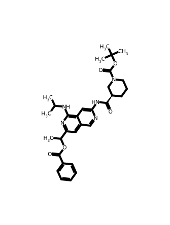 CC(C)Nc1nc(C(C)OC(=O)c2ccccc2)cc2cnc(NC(=O)[C@@H]3CCCN(C(=O)OC(C)(C)C)C3)cc12